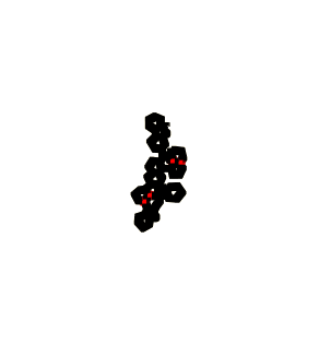 c1ccc(-c2cc3ccc(N(c4ccccc4)c4ccc5c(c4)sc4ccccc45)c(-c4ccccc4)c3cc2N(c2ccccc2)c2ccc3c(c2)sc2ccccc23)cc1